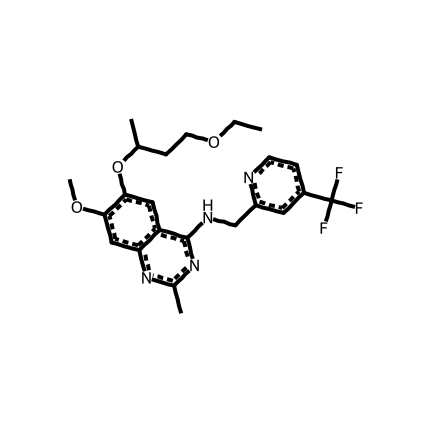 CCOCCC(C)Oc1cc2c(NCc3cc(C(F)(F)F)ccn3)nc(C)nc2cc1OC